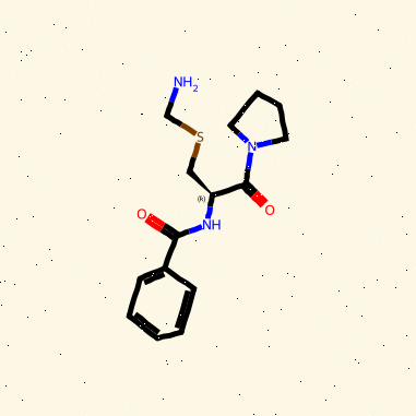 NCSC[C@H](NC(=O)c1ccccc1)C(=O)N1CCCC1